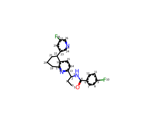 CCC(NC(=O)c1ccc(F)cc1)c1ccc2c(n1)CCCC2c1cncc(F)c1